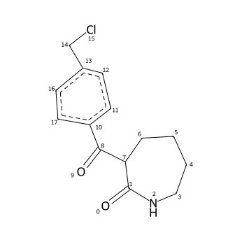 O=C1NCCCCC1C(=O)c1ccc(CCl)cc1